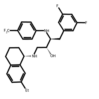 CCc1ccc2c(c1)[C@@H](NC[C@@H](O)[C@H](Cc1cc(F)cc(F)c1)Nc1ccc(C(F)(F)F)cc1)CCC2